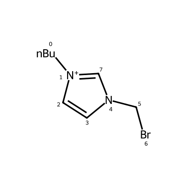 CCCC[n+]1ccn(CBr)c1